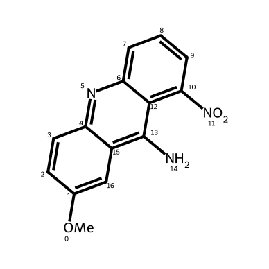 COc1ccc2nc3cccc([N+](=O)[O-])c3c(N)c2c1